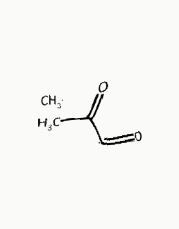 CC(=O)[C]=O.[CH3]